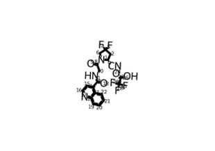 N#C[C@@H]1CC(F)(F)CN1C(=O)CNC(=O)c1ccnc2ccccc12.O=C(O)C(F)(F)F